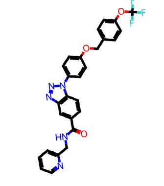 O=C(NCc1ccccn1)c1ccc2c(c1)nnn2-c1ccc(OCc2ccc(OC(F)(F)F)cc2)cc1